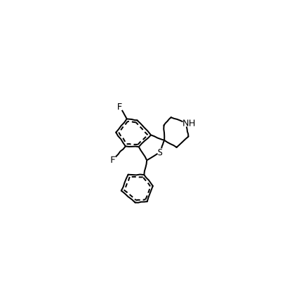 Fc1cc(F)c2c(c1)C1(CCNCC1)SC2c1ccccc1